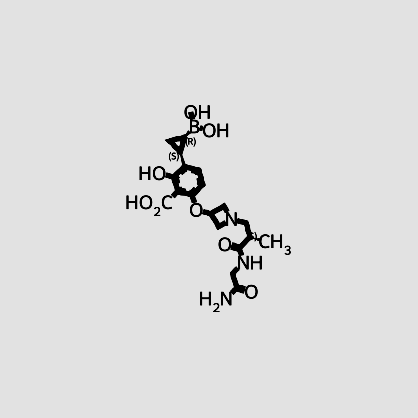 C[C@@H](CN1CC(Oc2ccc([C@H]3C[C@H]3B(O)O)c(O)c2C(=O)O)C1)C(=O)NCC(N)=O